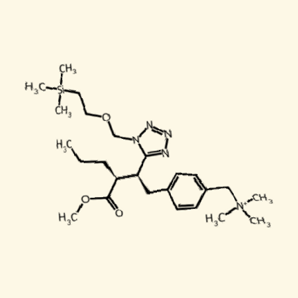 CCC[C@H](C(=O)OC)[C@H](Cc1ccc(C[N+](C)(C)C)cc1)c1nnnn1COCC[Si](C)(C)C